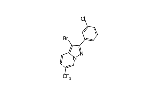 FC(F)(F)c1ccc2c(Br)c(-c3cccc(Cl)c3)nn2c1